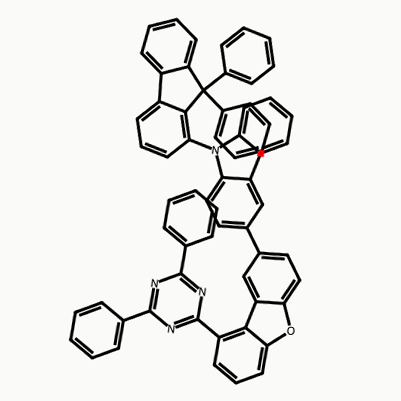 c1ccc(-c2nc(-c3ccccc3)nc(-c3cccc4oc5ccc(-c6ccc7c(c6)c6ccccc6n7-c6cccc7c6C(c6ccccc6)(c6ccccc6)c6ccccc6-7)cc5c34)n2)cc1